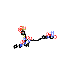 O=C1CCC(N2Cc3cc(C#CCCCCCC(=O)N4CC[C@H]5CC[C@@H](C(=O)N6CC[C@@H](c7ccccc7)C6)N5C(=O)[C@@H](NC(=O)c5cc6cc(C(F)(F)P(=O)(O)O)ccc6s5)C4)ccc3C2=O)C(=O)N1